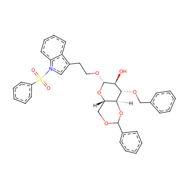 O=S(=O)(c1ccccc1)n1cc(CCO[C@H]2O[C@H]3COC(c4ccccc4)O[C@@H]3[C@@H](OCc3ccccc3)[C@@H]2O)c2ccccc21